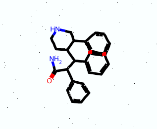 NC(=O)C(c1ccccc1)C(c1ccccc1)C1CCNCC1c1ccccc1